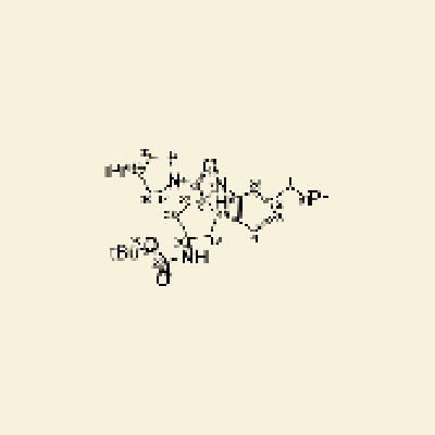 CC(C)Cc1cccc(NC2(C(=O)N3CCC(C(C)C)CC3)CCC(NC(=O)OC(C)(C)C)CC2)c1